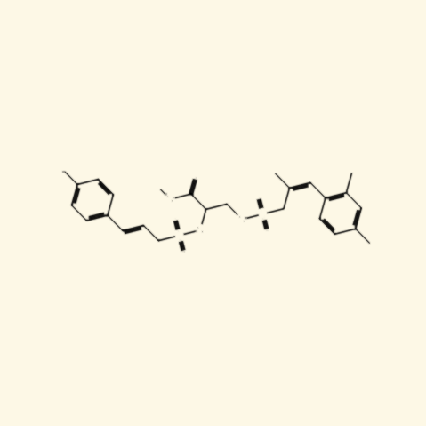 CC(=Cc1ccc(C)cc1C)CS(=O)(=O)NCC(NS(=O)(=O)CC=Cc1ccc(Cl)cc1)C(=O)NO